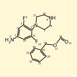 Nc1cc(F)c(N2CCNCC2)c(F)c1.O=COCc1ccccc1